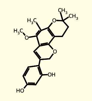 COc1c(C)c2c(c3c1C=C(c1ccc(O)cc1O)CO3)CCC(C)(C)O2